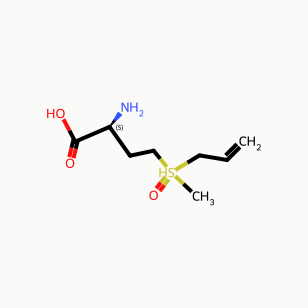 C=CC[SH](C)(=O)CC[C@H](N)C(=O)O